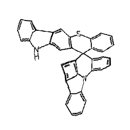 c1ccc2c(c1)Sc1cc3c(cc1C21c2ccccc2-n2c4ccccc4c4cccc1c42)[nH]c1ccccc13